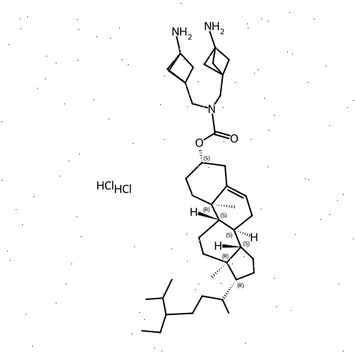 CCC(CCC(C)[C@H]1CC[C@H]2[C@@H]3CC=C4C[C@@H](OC(=O)N(CC56CC(N)(C5)C6)CC56CC(N)(C5)C6)CC[C@]4(C)[C@H]3CC[C@]12C)C(C)C.Cl.Cl